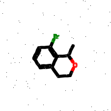 CC1OCCc2cccc(Br)c21